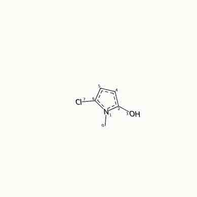 Cn1c(O)ccc1Cl